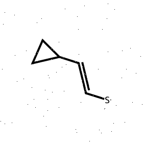 [S]C=CC1CC1